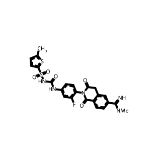 CNC(=N)c1ccc2c(c1)CC(=O)N(c1ccc(NC(=O)NS(=O)(=O)c3ccc(C)s3)cc1F)C2=O